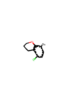 CC(C)(C)c1ccc(Cl)c2c1OCCC2